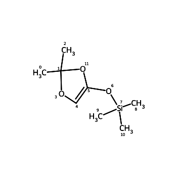 CC1(C)OC=C(O[Si](C)(C)C)O1